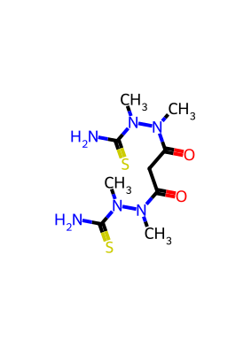 CN(C(=O)CC(=O)N(C)N(C)C(N)=S)N(C)C(N)=S